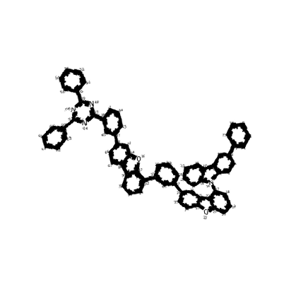 c1ccc(-c2ccc3c(c2)c2ccccc2n3-c2cccc3oc4ccc(-c5cccc(-c6cccc7c6oc6cc(-c8cccc(-c9nc(-c%10ccccc%10)nc(-c%10ccccc%10)n9)c8)ccc67)c5)cc4c23)cc1